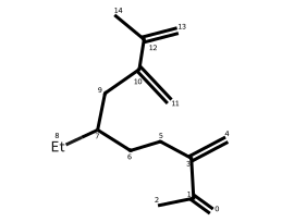 C=C(C)C(=C)CCC(CC)CC(=C)C(=C)C